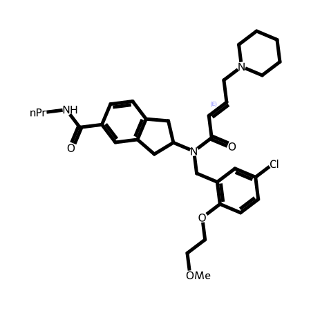 CCCNC(=O)c1ccc2c(c1)CC(N(Cc1cc(Cl)ccc1OCCOC)C(=O)/C=C/CN1CCCCC1)C2